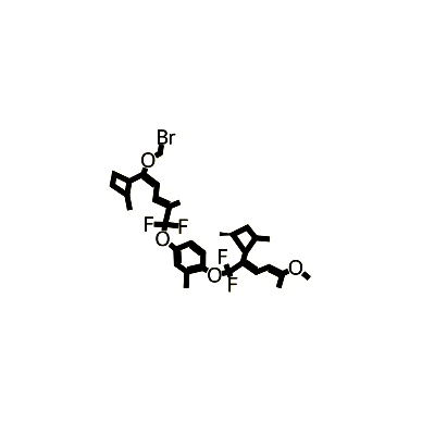 CO/C(C)=C/C=C(\C1C(C)C[C@@H]1C)C(F)(F)Oc1ccc(OC(F)(F)/C(C)=C/C=C(/OCBr)C2CCC2C)cc1C